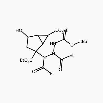 CCOC(=O)C1C2C(O)CC(C(=O)OCC)(N(C(=O)CC)N(NC(=O)OC(C)(C)C)C(=O)CC)C12